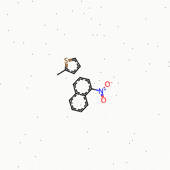 Cc1cccs1.O=[N+]([O-])c1cccc2ccccc12